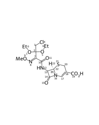 CCOC(CCl)(OCC)C(=NOC)C(=O)NC1C(=O)N2C=C(C(=O)O)CS[C@H]12